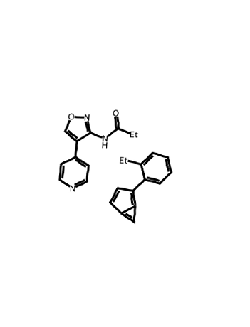 CCC(=O)Nc1nocc1-c1ccncc1.CCc1ccccc1-c1ccc2cc1-2